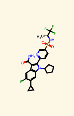 C[C@H](NS(=O)(=O)c1ccc(-c2c(C(N)=O)c3cc(F)c(C4CC4)cc3n2C2CCCC2)nc1)C(F)(F)F